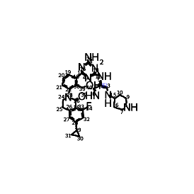 N=C/C(=C\NC1CCNCC1)Nc1nc(N)nc(-c2cccc(N3CCc4cc(C5CC5)cc(F)c4C3=O)c2CO)n1